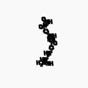 N=C(N)NCCCNCc1ccc(-c2cn3cc(-c4ccc(C(=O)N5CCNC(=O)C5)cc4)[nH]c3nc2=O)cc1